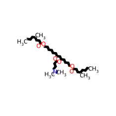 CCCCC(C)CCC(=O)OCCCCCCC(CCCCCCOC(=O)CCC(C)CCCC)OC(=O)CCCN(C)C